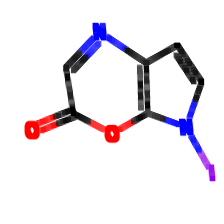 O=c1cnc2ccn(I)c2o1